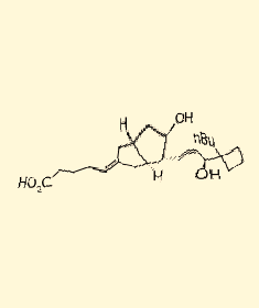 CCCCC1([C@@H](O)/C=C/[C@@H]2[C@H]3C/C(=C/CCCC(=O)O)C[C@@H]3C[C@H]2O)CCC1